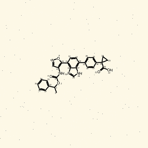 CC(OC(=O)Nc1cnoc1-c1ccc(-c2ccc(C3(C(=O)O)CC3)cc2)c2[nH]cnc12)c1ccccc1